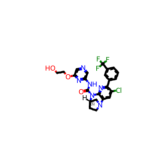 O=C(Nc1cncc(OCCO)n1)N1c2nc(-c3cccc(C(F)(F)F)c3)c(Cl)cc2N2CC[C@H]1C2